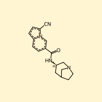 N#Cc1ccc2ccc(C(=O)N[C@@H]3CC4CCN(C4)C3)cn12